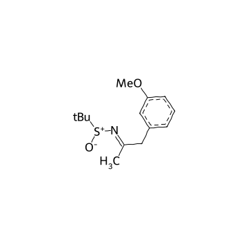 COc1cccc(CC(C)=N[S+]([O-])C(C)(C)C)c1